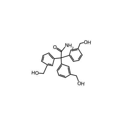 NC(=O)C(c1cccc(CO)c1)(c1cccc(CO)c1)c1cccc(CO)c1